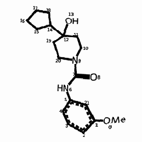 COc1cccc(NC(=O)N2CCC(O)(C3CCCC3)CC2)c1